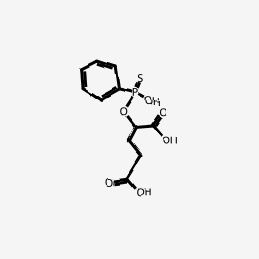 O=C(O)CCC(OP(O)(=S)c1ccccc1)C(=O)O